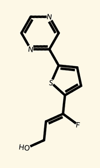 OCC=C(F)c1ccc(-c2cnccn2)s1